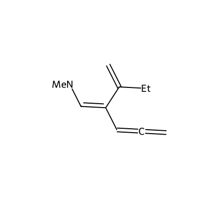 C=C=C/C(=C/NC)C(=C)CC